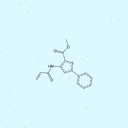 C=CC(=O)Nc1cc(-c2ccccc2)sc1C(=O)OC